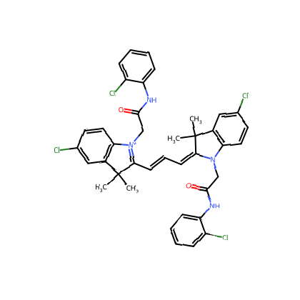 CC1(C)C(/C=C/C=C2/N(CC(=O)Nc3ccccc3Cl)c3ccc(Cl)cc3C2(C)C)=[N+](CC(=O)Nc2ccccc2Cl)c2ccc(Cl)cc21